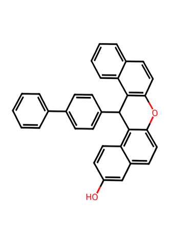 Oc1ccc2c3c(ccc2c1)Oc1ccc2ccccc2c1C3c1ccc(-c2ccccc2)cc1